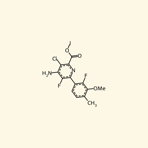 COc1c(C)ccc(-c2nc(C(=O)OI)c(Cl)c(N)c2F)c1F